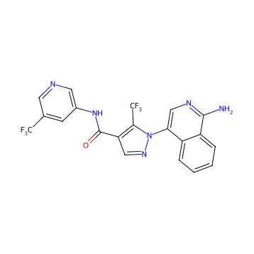 Nc1ncc(-n2ncc(C(=O)Nc3cncc(C(F)(F)F)c3)c2C(F)(F)F)c2ccccc12